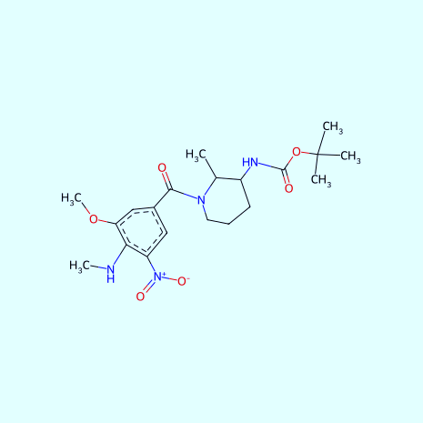 CNc1c(OC)cc(C(=O)N2CCCC(NC(=O)OC(C)(C)C)C2C)cc1[N+](=O)[O-]